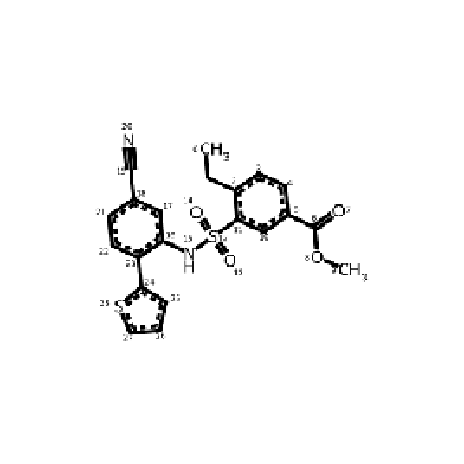 CCc1ccc(C(=O)OC)cc1S(=O)(=O)Nc1cc(C#N)ccc1-c1cccs1